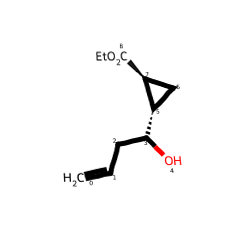 C=CCC(O)[C@H]1C[C@@H]1C(=O)OCC